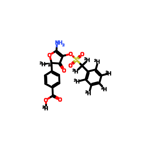 [2H]OC(=O)c1ccc([C@@]2([2H])OC(N)=C(OS(=O)(=O)C([2H])([2H])c3c([2H])c([2H])c([2H])c([2H])c3[2H])C2=O)cc1